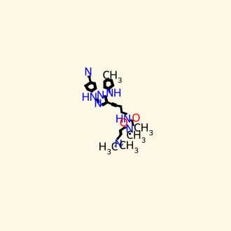 Cc1ccc(Nc2nc(Nc3ccc(C#N)cc3)ncc2C#CCCCNC(=O)[C@H](C)N(C)C(=O)/C=C/CN(C)C)cc1